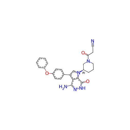 N#CCC(=O)N1CCC[C@@H](n2cc(-c3ccc(Oc4ccccc4)cc3)c3c(N)n[nH]c(=O)c32)C1